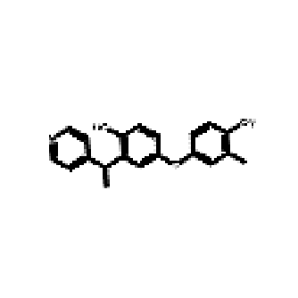 Cc1cc(Sc2ccc(O)c(C(C)c3ccncc3)c2)ccc1O